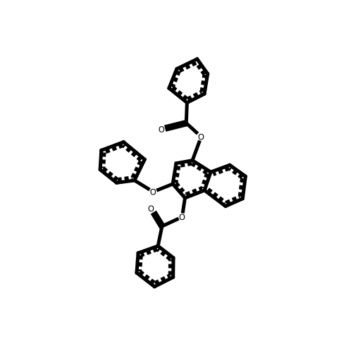 O=C(Oc1cc(Oc2ccccc2)c(OC(=O)c2ccccc2)c2ccccc12)c1ccccc1